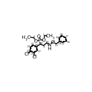 CCOP(=O)(OCC)C(CCNOCc1ccccc1)c1ccc(Cl)c(Cl)c1